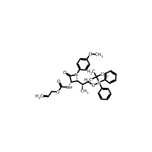 C=CCOC(=O)N[C@@H]1C(=O)N(c2ccc(OC)cc2)[C@@H]1[C@H](C)CO[Si](c1ccccc1)(c1ccccc1)C(C)(C)C